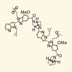 COc1cc(C(=O)N2C[C@H]3C(c4ccc5cc(-c6nc7cc(C(=O)N8C[C@H]9CC%10C[C@@H]8[C@H]%109)cc(OC)c7n6CC[S+](C)[O-])n(CC6CC6)c5n4)C4C[C@@H]2[C@H]43)cc2nc(-c3cc4cccnc4n3CC3CC3)n(CCS(C)(=O)=O)c12